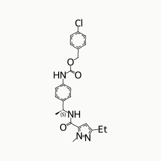 CCc1cc(C(=O)N[C@@H](C)c2ccc(NC(=O)OCc3ccc(Cl)cc3)cc2)n(C)n1